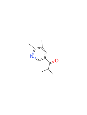 Cc1cc(C(=O)C(C)C)cnc1C